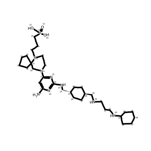 Nc1cc(N2CCN(CCCP(=O)(O)O)C3(CCCC3)C2)nc(NC[C@H]2CC[C@H](CNCCCNC3CCCCC3)CC2)n1